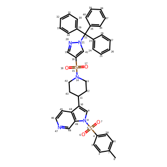 Cc1ccc(S(=O)(=O)n2cc(C3CCN(S(=O)(=O)c4cnn(C(c5ccccc5)(c5ccccc5)c5ccccc5)c4)CC3)c3ccncc32)cc1